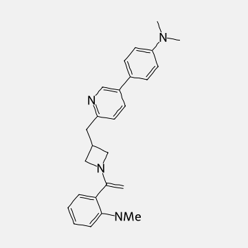 C=C(c1ccccc1NC)N1CC(Cc2ccc(-c3ccc(N(C)C)cc3)cn2)C1